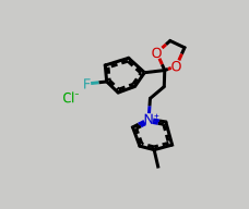 Cc1cc[n+](CCC2(c3ccc(F)cc3)OCCO2)cc1.[Cl-]